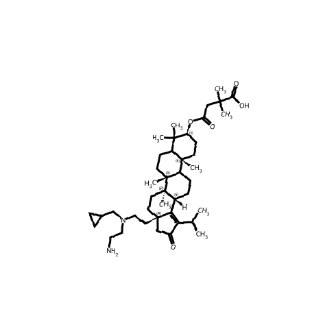 CC(C)C1=C2[C@H]3CCC4[C@@]5(C)CC[C@H](OC(=O)CC(C)(C)C(=O)O)C(C)(C)C5CC[C@@]4(C)[C@]3(C)CC[C@@]2(CCN(CCN)CC2CC2)CC1=O